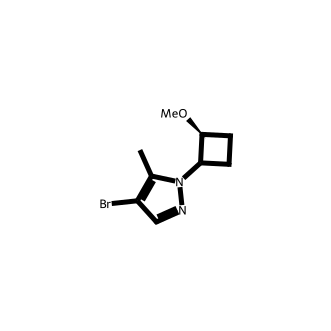 CO[C@H]1CCC1n1ncc(Br)c1C